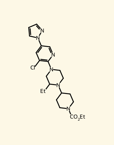 CCOC(=O)N1CCC(N2CCN(c3ncc(-n4cccn4)cc3Cl)CC2CC)CC1